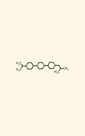 CC(C)CN1CCC(N2CCN(C3CCN(C(C)C)CC3)CC2)CC1